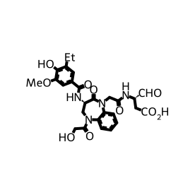 CCc1cc(C(=O)N[C@H]2CN(C(=O)CO)c3ccccc3N(CC(=O)N[C@H](C=O)CC(=O)O)C2=O)cc(OC)c1O